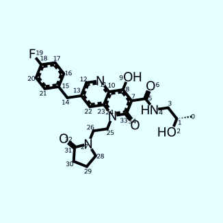 C[C@H](O)CNC(=O)c1c(O)c2ncc(Cc3ccc(F)cc3)cc2n(CCN2CCCC2=O)c1=O